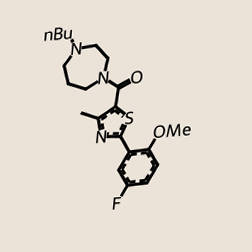 CCCCN1CCCN(C(=O)c2sc(-c3cc(F)ccc3OC)nc2C)CC1